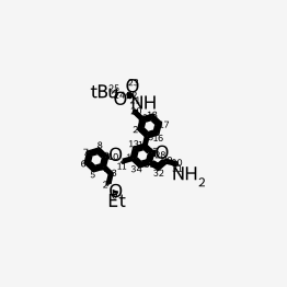 CCOCCc1ccccc1OCc1cc(-c2cccc(CNC(=O)OC(C)(C)C)c2)c2oc(CN)cc2c1